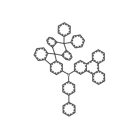 c1ccc(-c2ccc(N(c3ccc4c(c3)C3(c5ccccc5-4)c4ccccc4C(c4ccccc4)(c4ccccc4)c4ccccc43)c3ccc4c5ccccc5c5ccccc5c4c3)cc2)cc1